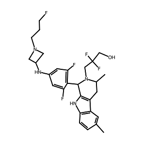 Cc1ccc2[nH]c3c(c2c1)CC(C)N(CC(F)(F)CO)C3c1c(F)cc(NC2CN(CCCF)C2)cc1F